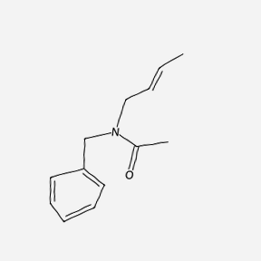 C/C=C/CN(Cc1ccccc1)C(C)=O